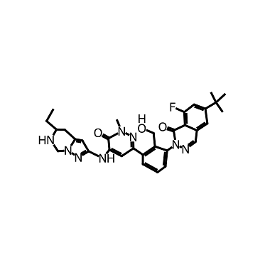 CCC1Cc2cc(Nc3cc(-c4cccc(-n5ncc6cc(C(C)(C)C)cc(F)c6c5=O)c4CO)nn(C)c3=O)nn2CN1